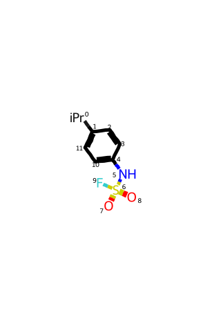 CC(C)c1ccc(NS(=O)(=O)F)cc1